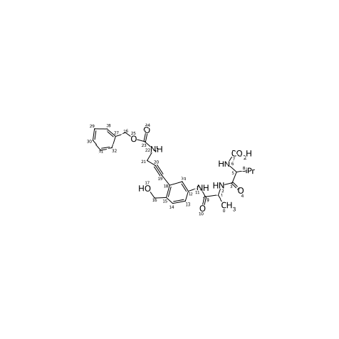 CC(NC(=O)C(NC(=O)O)C(C)C)C(=O)Nc1ccc(CO)c(C#CCNC(=O)OCc2ccccc2)c1